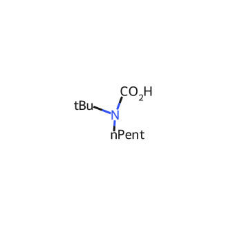 CCCCCN(C(=O)O)C(C)(C)C